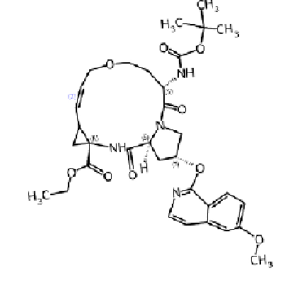 CCOC(=O)[C@@]12CC1/C=C\COCC[C@H](NC(=O)OC(C)(C)C)C(=O)N1C[C@H](Oc3nccc4cc(OC)ccc34)C[C@H]1C(=O)N2